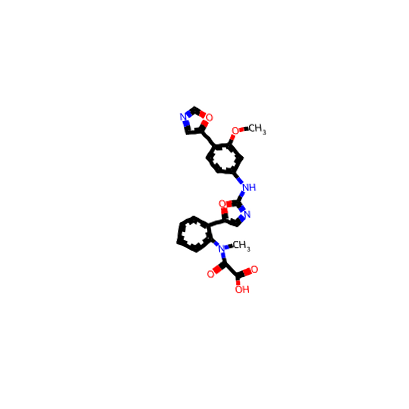 COc1cc(Nc2ncc(-c3ccccc3N(C)C(=O)C(=O)O)o2)ccc1-c1cnco1